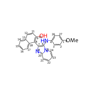 COc1ccc(Nc2c(-c3c(O)ccc4ccccc34)nc3ccccn23)cc1